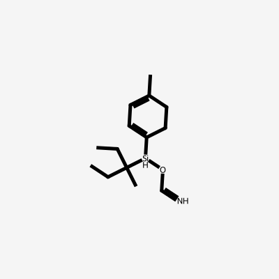 CCC(C)(CC)[SiH](OC=N)C1=CC=C(C)CC1